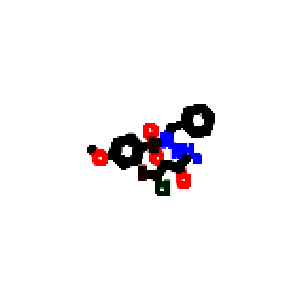 CC(=O)CC(=S)Cl.COc1ccc(S(=O)(=O)N(N)Cc2ccccc2)cc1